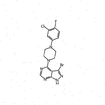 Fc1ccc(N2CCN(c3ncnc4[nH]nc(Br)c34)CC2)cc1Cl